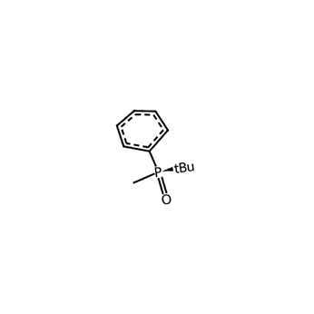 CC(C)(C)[P@](C)(=O)c1ccccc1